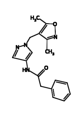 Cc1noc(C)c1Cn1cc(NC(=O)Cc2ccccc2)cn1